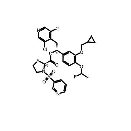 O=C(O[C@@H](Cc1c(Cl)cncc1Cl)c1ccc(OC(F)F)c(OCC2CC2)c1)[C@@H]1SCCN1S(=O)(=O)c1cccnc1